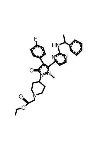 CCOC(=O)CN1CCC(n2c(=O)c(-c3ccc(F)cc3)c(-c3ccnc(NC(C)c4ccccc4)n3)n2C)CC1